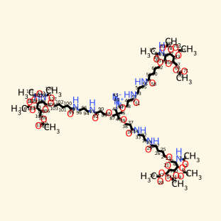 CC(=O)NC1C(OC(C)=O)[C@@H](OC(C)=O)C(COC(C)=O)O[C@H]1OCCCCC(=O)NCCCNC(=O)CCOCC(CN=[N+]=[N-])(COCCC(=O)NCCCNC(=O)CCCCO[C@@H]1OC(COC(C)=O)[C@H](OC(C)=O)C(OC(C)=O)C1NC(C)=O)COCCC(=O)NCCCNC(=O)CCCCO[C@@H]1OC(COC(C)=O)[C@H](OC(C)=O)C(OC(C)=O)C1NC(C)=O